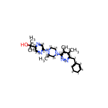 Cc1c(CC2=CCCC=C2)nnc(N2CCN(c3cnc(C(C)(C)O)cn3)[C@H](C)C2)c1C